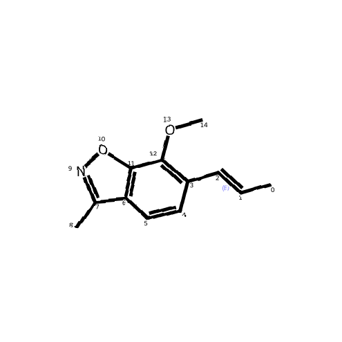 C/C=C/c1ccc2c(C)noc2c1OC